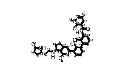 COc1nc(-c2cccc(-c3cccc(NC(=O)c4cc(Cl)nn(C)c4=O)c3Cl)c2Cl)cc2c1[C@@H](NCC[C@@H]1CCC(=O)N1)CC2